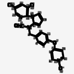 O=CN(Cc1ccc(Oc2cc[n+]([O-])cc2)cc1)c1cccn1-c1ncc(Cl)cc1Cl